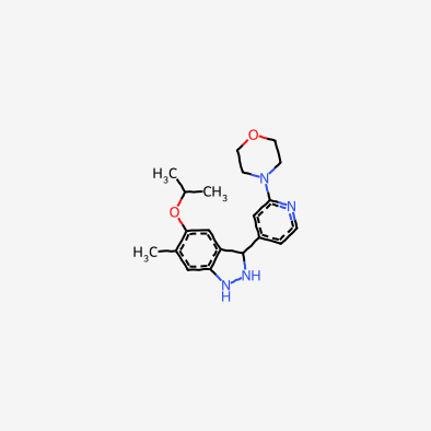 Cc1cc2c(cc1OC(C)C)C(c1ccnc(N3CCOCC3)c1)NN2